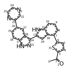 CC(=O)c1ccc(-c2cccc3[nH]c(-c4n[nH]c5ccc(-c6cnccn6)cc45)cc23)s1